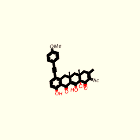 COc1ccc(C#Cc2ccc(O)c3c2C[C@]2(C)C[C@]4(C)CC(C)=C(C(C)=O)C(=O)[C@]4(O)C(O)=C2C3=O)cc1